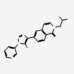 Cc1c(-c2ccc3c(=O)n(CC(F)F)ccc3c2)nnn1-c1cccnc1